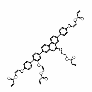 C=CC(=O)O/C=C\Oc1ccc(-c2ccc3c(c2)c(OCCOC(=O)C=C)cc2cc(-c4ccc(-c5ccc(O/C=C\OC(=O)C=C)cc5)c(O/C=C\OC(=O)C=C)c4)ccc23)cc1